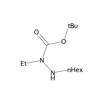 CCCCCCNN(CC)C(=O)OC(C)(C)C